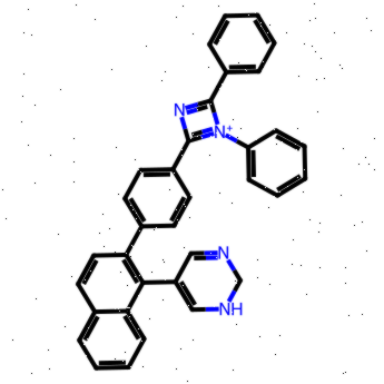 C1=NCNC=C1c1c(-c2ccc(C3=[N+](c4ccccc4)C(c4ccccc4)=N3)cc2)ccc2ccccc12